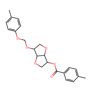 Cc1ccc(OCOC2COC3C(OC(=O)c4ccc(C)cc4)COC23)cc1